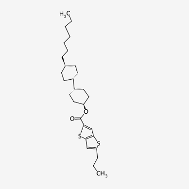 CCCCCCC[C@H]1CC[C@H]([C@H]2CC[C@H](OC(=O)c3cc4sc(CCC)cc4s3)CC2)CC1